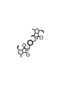 C=CC1CC(C)C2C(=C)N(Cc3cccc(CN4C(=O)C5C(C)CC(C=C)C5C4=O)c3)C(=O)C12